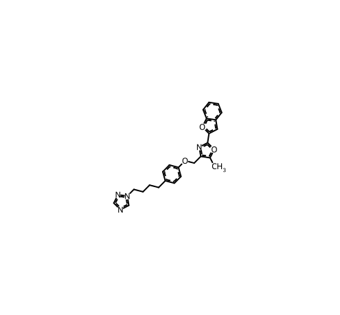 Cc1oc(-c2cc3ccccc3o2)nc1COc1ccc(CCCCn2cncn2)cc1